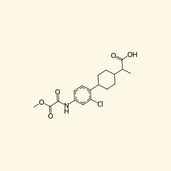 COC(=O)C(=O)Nc1ccc(C2CCC(C(C)C(=O)O)CC2)c(Cl)c1